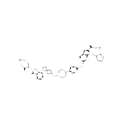 CN(C)C(=O)c1cc2cnc(Nc3ccc(C4CCN(CC5CC6(CCN6c6cccc7c6CN([C@H]6CCC(=O)NC6=O)C7=O)C5)CC4)cn3)nc2n1C1CCCC1